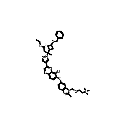 CCOC(=O)CC(C)(C1CC(OCc2ccccc2)C1)n1cc(-c2cnc3ccc(Oc4ccc5nc(C)n(COCC[Si](C)(C)C)c5c4)c(Cl)c3n2)cn1